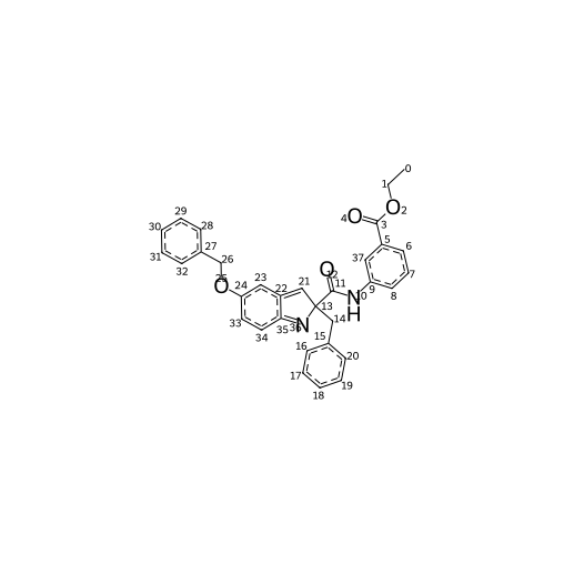 CCOC(=O)c1cccc(NC(=O)C2(Cc3ccccc3)C=c3cc(OCc4ccccc4)ccc3=N2)c1